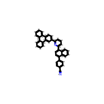 N#Cc1ccc(-c2ccc(-c3cccc(-c4ccc5c6ccccc6c6ccccc6c5c4)n3)c3ccccc23)cc1